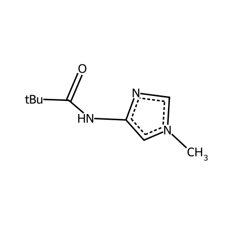 Cn1cnc(NC(=O)C(C)(C)C)c1